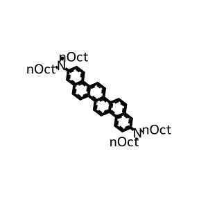 CCCCCCCCN(CCCCCCCC)c1ccc2c(ccc3c2ccc2c4ccc5cc(N(CCCCCCCC)CCCCCCCC)ccc5c4ccc32)c1